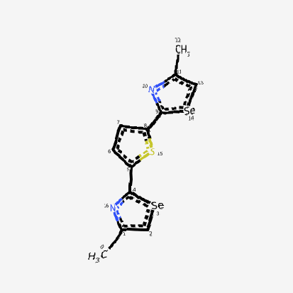 Cc1c[se]c(-c2ccc(-c3nc(C)c[se]3)s2)n1